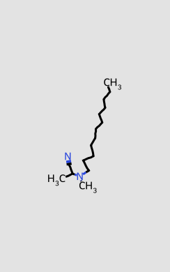 CCCCCCCCCCCCN(C)C(C)C#N